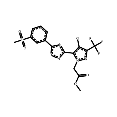 COC(=O)Cn1nc(C(F)(F)F)c(Cl)c1-c1noc(-c2cccc(S(C)(=O)=O)c2)n1